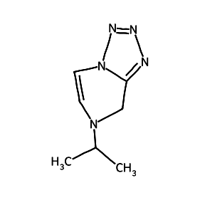 CC(C)N1C=Cn2nnnc2C1